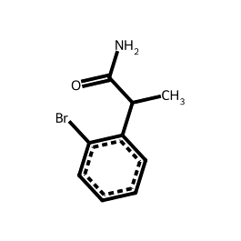 CC(C(N)=O)c1ccccc1Br